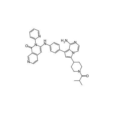 CC(C)C(=O)N1CCC(c2cc(-c3ccc(Nc4cc5ccncc5c(=O)n4-c4ccccn4)cc3)c3c(N)nccn23)CC1